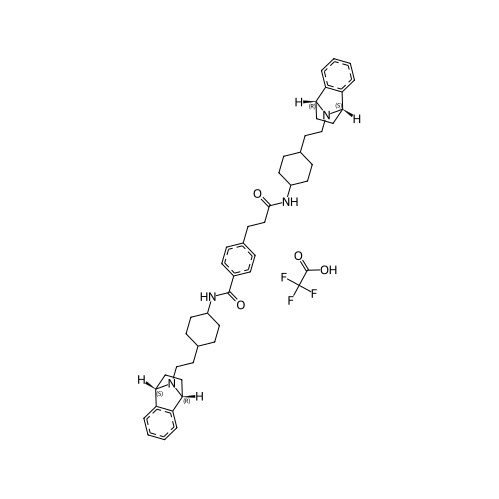 O=C(CCc1ccc(C(=O)NC2CCC(CCN3[C@@H]4CC[C@H]3c3ccccc34)CC2)cc1)NC1CCC(CCN2[C@@H]3CC[C@H]2c2ccccc23)CC1.O=C(O)C(F)(F)F